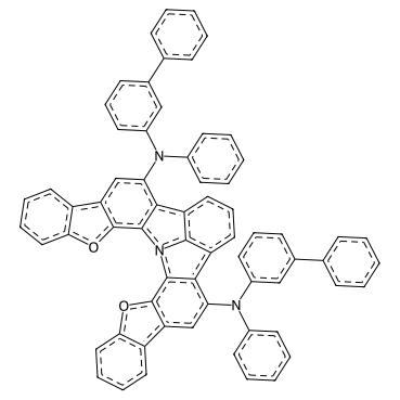 c1ccc(-c2cccc(N(c3ccccc3)c3cc4c5ccccc5oc4c4c3c3cccc5c6c(N(c7ccccc7)c7cccc(-c8ccccc8)c7)cc7c8ccccc8oc7c6n4c35)c2)cc1